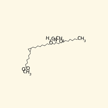 CCCCCCCCOCC(COCCCCCCCCC1CC1CCCCCCC(=O)OC)N(C)C